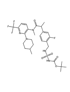 CC1CCN(c2nc(C(F)(F)F)ccc2N(C)C(=O)C(C)c2ccc(CNS(=O)(=O)NC(=O)OC(C)(C)C)c(F)c2)CC1